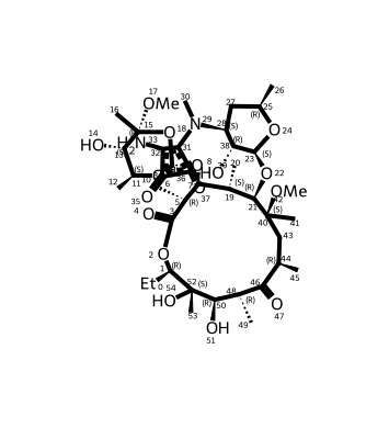 CC[C@H]1OC(=O)[C@H](C)[C@@H](O[C@@H]2O[C@@H](C)[C@H](O)[C@](C)(OC)O2)[C@H](C)[C@@H](O[C@@H]2O[C@H](C)C[C@H](N(C)c3c(N)c(=O)c3=O)[C@H]2O)[C@@](C)(OC)C[C@@H](C)C(=O)[C@H](C)[C@@H](O)[C@]1(C)O